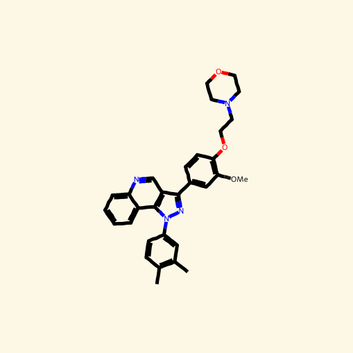 COc1cc(-c2nn(-c3ccc(C)c(C)c3)c3c2cnc2ccccc23)ccc1OCCN1CCOCC1